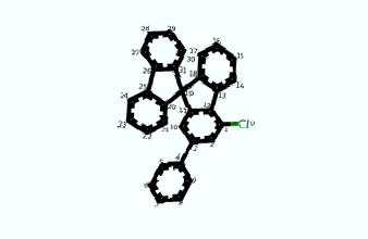 Clc1cc(-c2ccccc2)cc2c1-c1ccccc1C21c2ccccc2-c2ccccc21